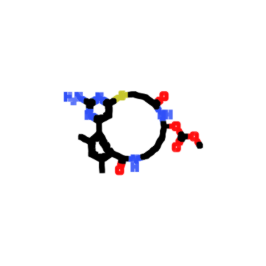 COC(=O)O[C@H]1CCCNC(=O)c2cc(c(C)cc2C)-c2cc(nc(N)n2)SCCC(=O)N1